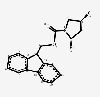 CC[C@@H]1C[C@H](C)CN1C(=O)OCC1c2ccccc2-c2ccccc21